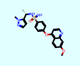 COc1ccc2c(Oc3ccc(S(=N)(=O)N[C@@H](C)c4ccnn4C)cc3)ccnc2c1